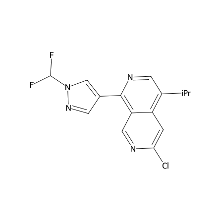 CC(C)c1cnc(-c2cnn(C(F)F)c2)c2cnc(Cl)cc12